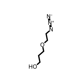 [N-]=[N+]=NCCOCCCO